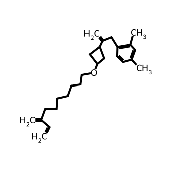 C=CC(=C)CCCCCCCOC1CC(C(=C)Cc2ccc(C)cc2C)C1